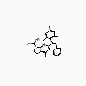 CCCC(CCC)N1CCc2c(C)nc(N(Cc3ccccc3)c3c(C)cc(C)cc3C)nc21